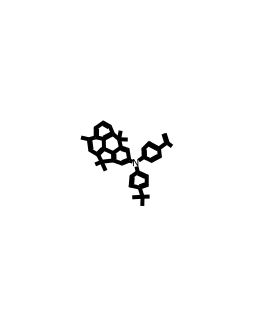 C=C(C)c1ccc(N(c2ccc(C(C)(C)C)cc2)c2cc3c4c(c2)C(C)(C)c2cccc5c(C)cc(c-4c25)C3(C)C)cc1